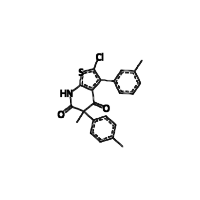 Cc1ccc(C2(C)C(=O)Nc3sc(Cl)c(-c4cccc(C)c4)c3C2=O)cc1